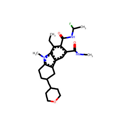 CCc1c(C(=O)NC(C)F)c(C(=O)NC)cc2c3c(n(C)c12)CCC(C1CCOCC1)C3